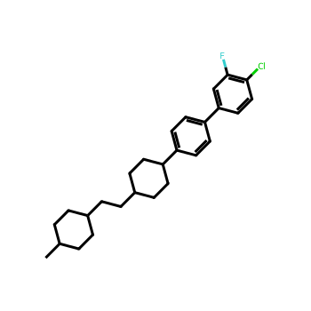 CC1CCC(CCC2CCC(c3ccc(-c4ccc(Cl)c(F)c4)cc3)CC2)CC1